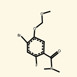 COCOc1cc(C(=O)N(C)C)c(F)cc1Br